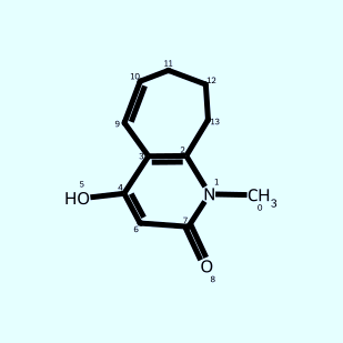 Cn1c2c(c(O)cc1=O)C=CCCC2